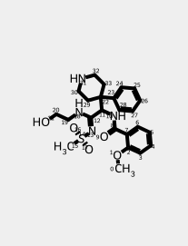 COc1ccccc1C(=O)NC(C(=NS(C)(=O)=O)NCCO)C1(c2ccccc2)CCNCC1